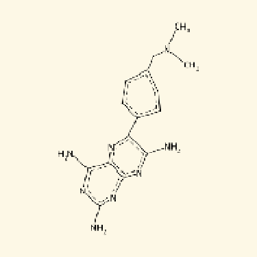 CN(C)Cc1ccc(-c2nc3c(N)nc(N)nc3nc2N)cc1